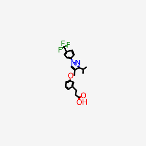 CC(C)c1nn(-c2ccc(C(F)(F)F)cc2)cc1COc1cccc(CCC(=O)O)c1